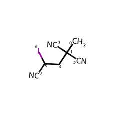 CC(C#N)(C#N)CC(I)C#N